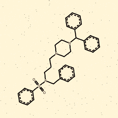 O=S(=O)(c1ccccc1)N(CCCN1CCN(C(c2ccccc2)c2ccccc2)CC1)Cc1ccccc1